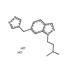 CN(C)CCn1ncc2ccc(Cn3cnnc3)cc21.Cl.Cl